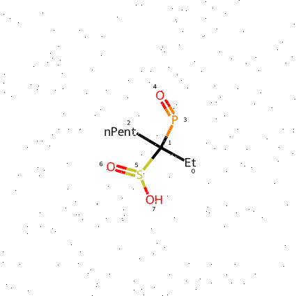 [CH2]CC(CCCCC)(P=O)S(=O)O